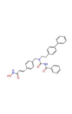 O=C(C=Cc1ccc(CN(CCc2ccc(-c3ccccc3)cc2)C(=O)NC(=O)c2ccccc2)cc1)NO